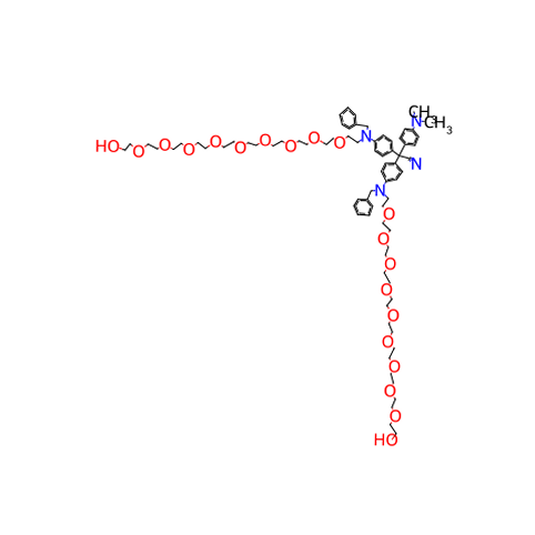 CN(C)c1ccc(C(C#N)(c2ccc(N(CCOCCOCCOCCOCCOCCOCCOCCOCCOCCO)Cc3ccccc3)cc2)c2ccc(N(CCOCCOCCOCCOCCOCCOCCOCCOCCOCCO)Cc3ccccc3)cc2)cc1